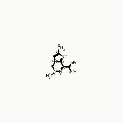 CCCC(CCC)C1=NN(C)C[N+]2C=C(C)N=C12